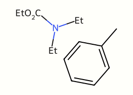 CCOC(=O)N(CC)CC.Cc1ccccc1